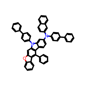 c1ccc(-c2ccc(N(c3ccc4ccccc4c3)c3ccc4c5c(-c6ccccc6)c6c(cc5n(-c5ccc(-c7ccccc7)cc5)c4c3)oc3ccccc36)cc2)cc1